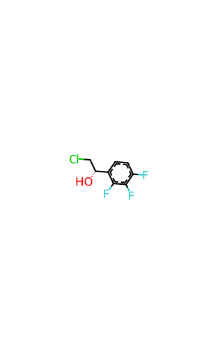 O[C@H](CCl)c1ccc(F)c(F)c1F